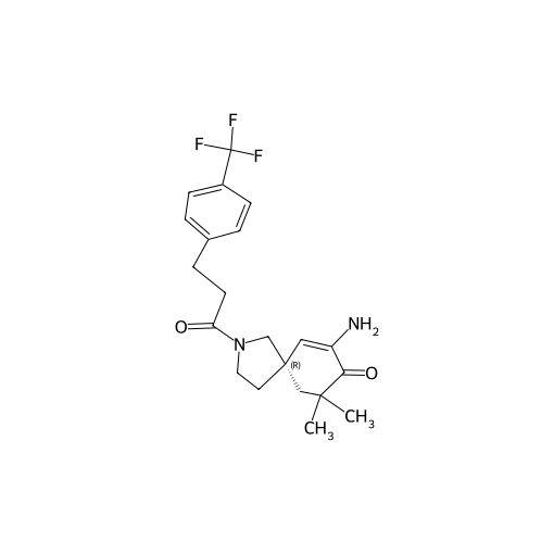 CC1(C)C[C@]2(C=C(N)C1=O)CCN(C(=O)CCc1ccc(C(F)(F)F)cc1)C2